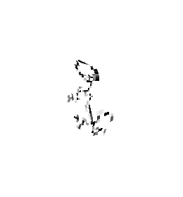 CO[C@H](COC(C)(C)C)CN1C2CCCC1CC2